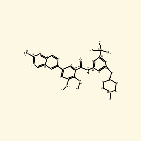 COc1cc(-c2ccc3nc(N)ncc3c2)cc(C(=O)Nc2cc(CN3CCN(C)CC3)cc(C(F)(F)F)c2)c1OC